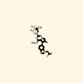 COc1nc(NCC(C)(C)C#N)nn2cc(F)c(-c3ccc4ncn(CC(F)F)c4c3)c12